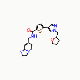 O=C(NCc1ccn2ccnc2c1)c1ccc(-c2cnn(CC3CCCO3)c2)s1